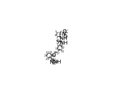 O=[N+]([O-])c1ccccc1NC(=S)Nc1ccc(CCOc2ccccc2-c2c[nH]cn2)cc1